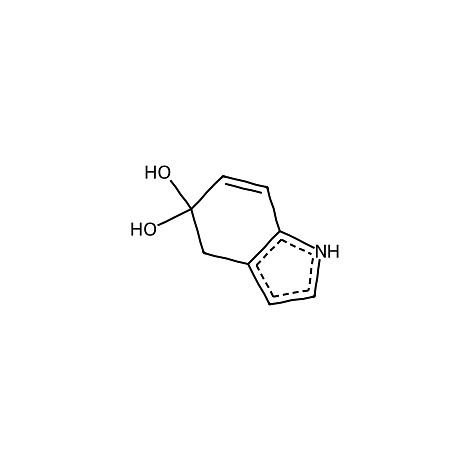 OC1(O)C=Cc2[nH]ccc2C1